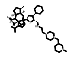 CC(C)C1=CC2CC3(C=O)[C@@H]4CC[C@@H](C)[C@H]4CC2([C@H]2C[C@@H](C4CCCCC4)[C@H](CNCCN4CCN(CC5CCCN(C)C5)CC4)O2)[C@]13C(=O)O